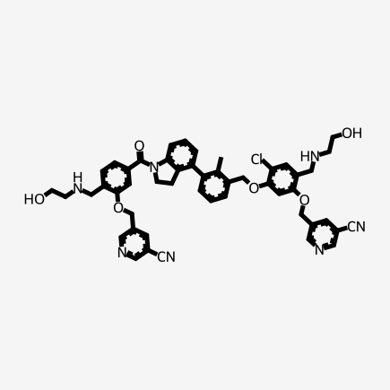 Cc1c(COc2cc(OCc3cncc(C#N)c3)c(CNCCO)cc2Cl)cccc1-c1cccc2c1CCN2C(=O)c1ccc(CNCCO)c(OCc2cncc(C#N)c2)c1